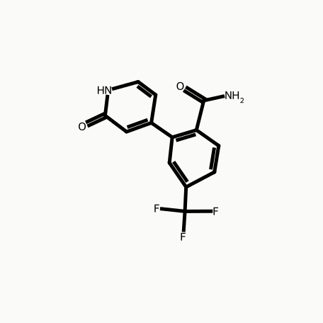 NC(=O)c1ccc(C(F)(F)F)cc1-c1cc[nH]c(=O)c1